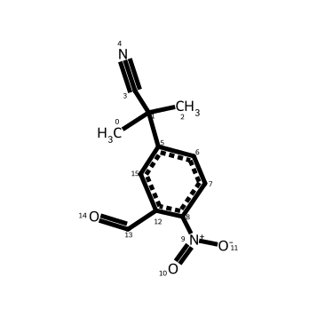 CC(C)(C#N)c1ccc([N+](=O)[O-])c(C=O)c1